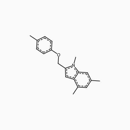 Cc1ccc(OCc2cc3c(C)cc(C)cc3n2C)cc1